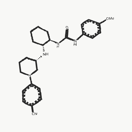 COc1ccc(NC(=O)N[C@@H]2CCCC[C@H]2N[C@H]2CCCN(c3ccc(C#N)cc3)C2)cc1